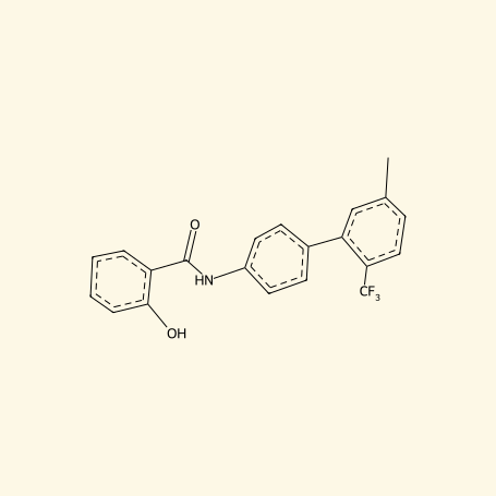 Cc1ccc(C(F)(F)F)c(-c2ccc(NC(=O)c3ccccc3O)cc2)c1